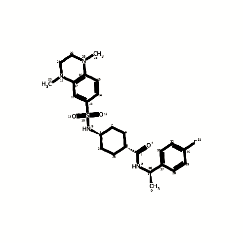 C[C@@H](NC(=O)[C@H]1CC[C@H](NS(=O)(=O)c2ccc3c(c2)N(C)CCN3C)CC1)c1ccc(F)cc1